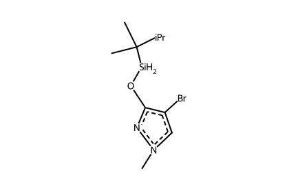 CC(C)C(C)(C)[SiH2]Oc1nn(C)cc1Br